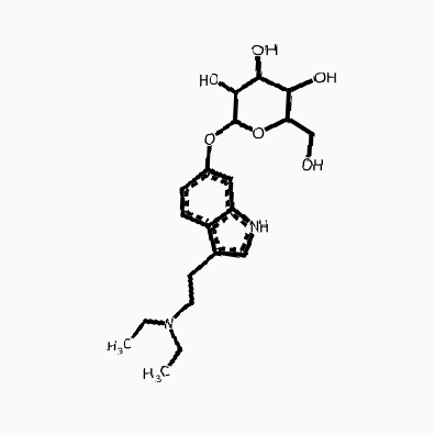 CCN(CC)CCc1c[nH]c2cc(OC3OC(CO)C(O)C(O)C3O)ccc12